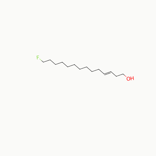 OCCC=CCCCCCCCCCCF